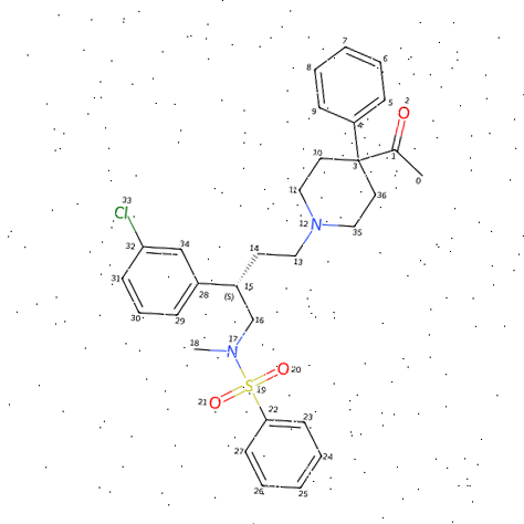 CC(=O)C1(c2ccccc2)CCN(CC[C@H](CN(C)S(=O)(=O)c2ccccc2)c2cccc(Cl)c2)CC1